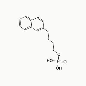 O=P(O)(O)OCCCCc1ccc2ccccc2c1